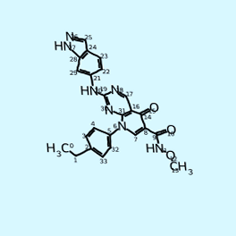 CCc1ccc(-n2cc(C(=O)NOC)c(=O)c3cnc(Nc4ccc5cn[nH]c5c4)nc32)cc1